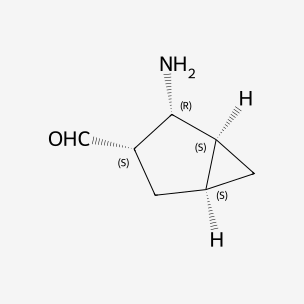 N[C@@H]1[C@H]2C[C@H]2C[C@@H]1C=O